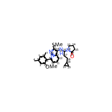 COc1cc(C)cc(C)c1-c1cccc2c(NC(CCC3CC3)N3CCCC3=O)c(SC)nn12